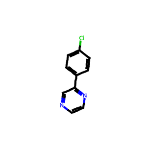 Clc1ccc(-c2[c]nccn2)cc1